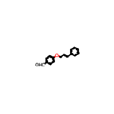 O=Cc1ccc(OCC=Cc2ccccc2)cc1